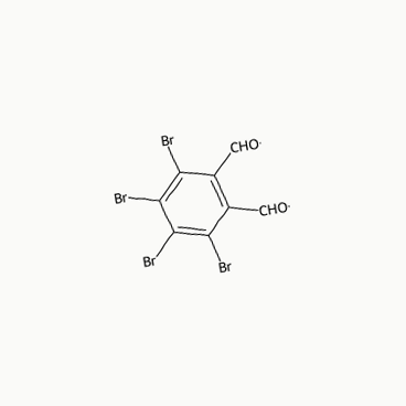 O=[C]c1c(Br)c(Br)c(Br)c(Br)c1[C]=O